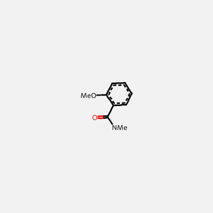 [CH2]Oc1ccccc1C(=O)NC